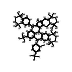 Cc1cc(C(C)(C)C)ccc1N1c2cc3c(cc2B2c4c1cc(C(C)(C)C)cc4N(c1ccc4c(c1)C(C)(C)CCC4(C)C)c1oc4c(c12)CC1C(=C4)C(C)(C)CCC1(C)C)C(C)(C)CCC3(C)C